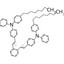 CCCCCCCCc1ccc(N(c2ccccc2)c2ccc(/C=C/c3ccccc3/C=C/c3ccc(N(c4ccccc4)c4ccc(CCCCCCCC)cc4)cc3)cc2)cc1